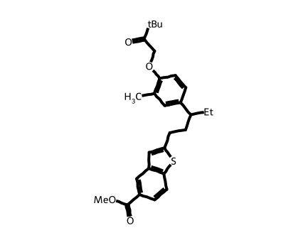 CCC(CCc1cc2cc(C(=O)OC)ccc2s1)c1ccc(OCC(=O)C(C)(C)C)c(C)c1